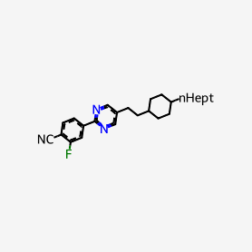 CCCCCCCC1CCC(CCc2cnc(-c3ccc(C#N)c(F)c3)nc2)CC1